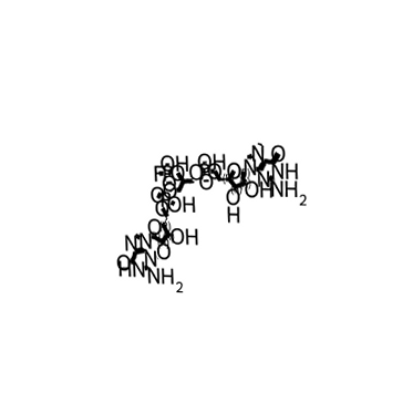 CO[C@@H]1[C@H](O)[C@@H](COP(=O)(O)OCC(COP(=O)(O)OC[C@H]2O[C@@H](N3CN(C)c4c3nc(N)[nH]c4=O)[C@H](O)[C@@H]2O)OP(=O)(O)F)O[C@H]1n1cnc2c(=O)[nH]c(N)nc21